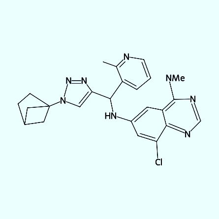 CNc1ncnc2c(Cl)cc(NC(c3cn(C45CCC(C4)C5)nn3)c3cccnc3C)cc12